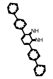 N=C1C(=N)C(c2ccc(-c3ccccc3)cc2)=CC=C1c1ccc(-c2ccccc2)cc1